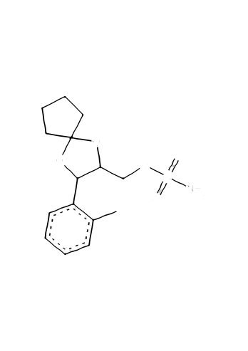 Cc1ccccc1C1OC2(CCCC2)OC1COS(N)(=O)=O